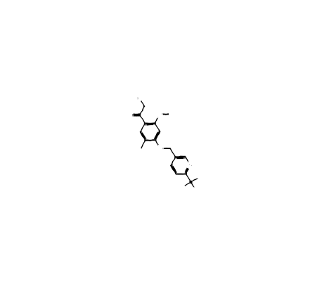 COc1cc(OCc2ccc(C(F)(F)F)nc2)c(C)cc1C(=O)CBr